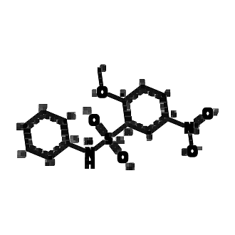 COc1ccc([N+](=O)[O-])cc1S(=O)(=O)Nc1ccccc1